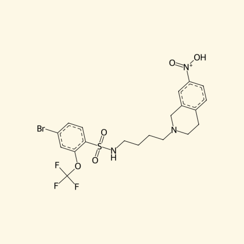 O=[N+](O)c1ccc2c(c1)CN(CCCCNS(=O)(=O)c1ccc(Br)cc1OC(F)(F)F)CC2